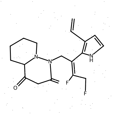 C=Cc1cc[nH]c1/C(CN1C(=C)CC(=O)C2CCCCN21)=C(/F)CF